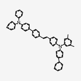 Cc1cc(C)cc(N(c2ccc(/C=C/c3ccc(-c4ccc(N(c5ccccc5)c5ccccc5)cc4)cc3)cc2)c2ccc(-c3ccccc3)cc2)c1